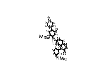 CNc1cccc(-n2c(=O)cnc3cnc(Nc4cc(C)c(N5CCN(C)CC5)cc4OC)nc32)c1